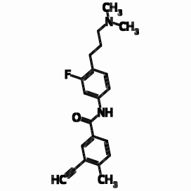 C#Cc1cc(C(=O)Nc2ccc(CCCN(C)C)c(F)c2)ccc1C